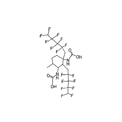 CC1CCC(CC(F)(F)C(F)(F)C(F)(F)C(F)F)(NC(=O)O)C(CC(F)(F)C(F)(F)C(F)(F)C(F)F)C1NC(=O)O